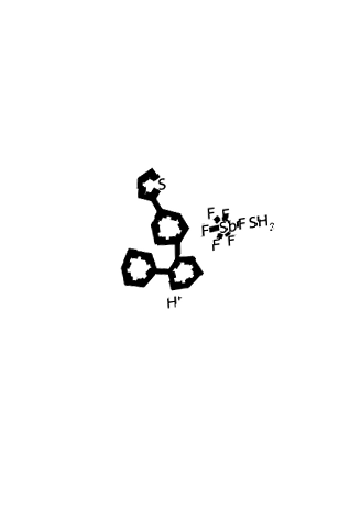 S.[F][Sb-]([F])([F])([F])([F])[F].[H+].c1ccc(-c2ccccc2-c2ccc(-c3cccs3)cc2)cc1